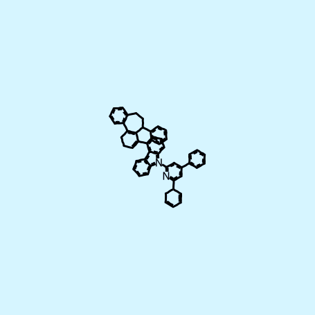 C1=CCC(c2cc(-c3ccccc3)cc(-n3c4ccccc4c4c(C5=CCCC6=C5C(c5ccccc5)CCc5ccccc56)cccc43)n2)C=C1